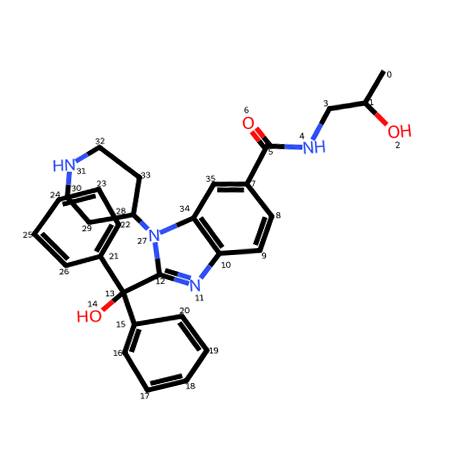 CC(O)CNC(=O)c1ccc2nc(C(O)(c3ccccc3)c3ccccc3)n(C3CCNCC3)c2c1